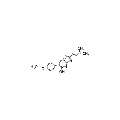 CCOc1ccc(-c2cn3nc(N=CN(C)C)nc3nc2O)cc1